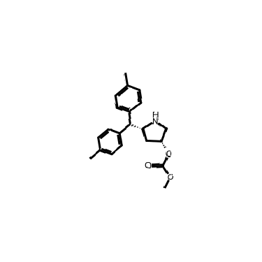 COC(=O)O[C@H]1CN[C@@H](C(c2ccc(C)cc2)c2ccc(C)cc2)C1